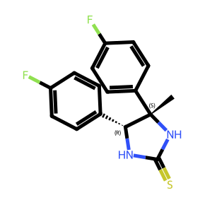 C[C@@]1(c2ccc(F)cc2)NC(=S)N[C@@H]1c1ccc(F)cc1